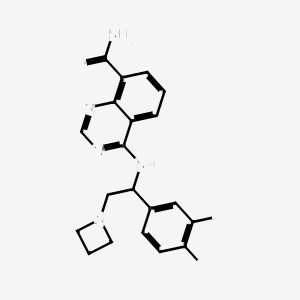 NC(=O)c1cccc2c(NC(CN3CCC3)c3ccc(F)c(Cl)c3)ncnc12